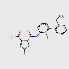 CCc1ccccc1-c1cccc(NC(=O)[C@@H]2CC(F)C=C2C(C)=O)c1F